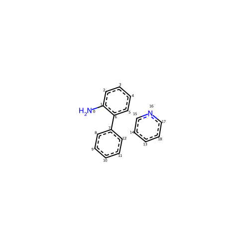 Nc1ccccc1-c1ccccc1.c1ccncc1